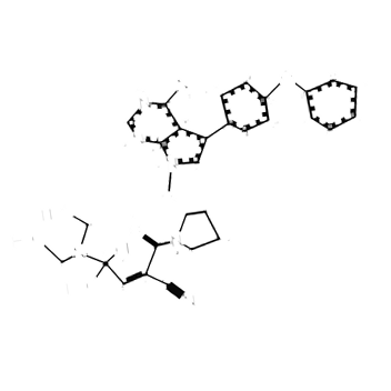 CCN(CC)C(C)(C)/C=C(/C#N)C(=O)N1CCC[C@H]1Cn1cc(-c2ccc(Oc3ccccc3)cc2)c2c(N)ncnc21